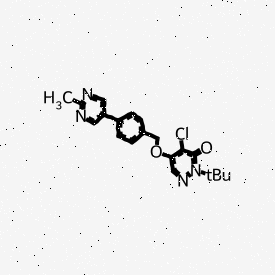 Cc1ncc(-c2ccc(COc3cnn(C(C)(C)C)c(=O)c3Cl)cc2)cn1